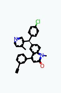 C#Cc1cccc(-c2cc(=O)n(C)c3ccc([C@H](c4ccc(Cl)cc4)c4cnccc4C)cc23)c1